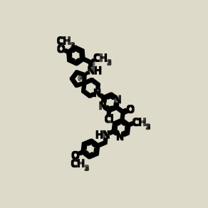 COc1ccc(CNc2cc(C(=O)c3ncc(N4CCC5(CCC[C@H]5N[C@H](C)c5ccc(OC)cc5)CC4)nc3Cl)c(C)cn2)cc1